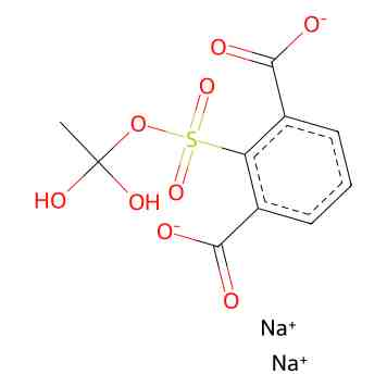 CC(O)(O)OS(=O)(=O)c1c(C(=O)[O-])cccc1C(=O)[O-].[Na+].[Na+]